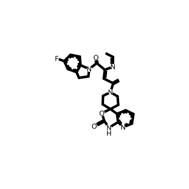 C=C(/C=C(\N=C/C)C(=O)N1CCc2cc(F)ccc21)N1CCC2(CC1)OC(=O)Nc1ncccc12